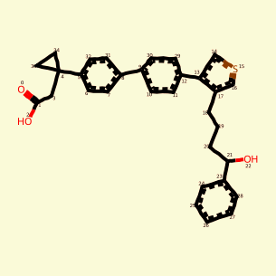 O=C(O)CC1(c2ccc(-c3ccc(-c4cscc4CCCC(O)c4ccccc4)cc3)cc2)CC1